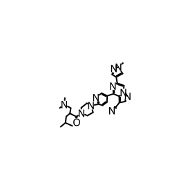 CC(C)CC(CN(C)C)C(=O)N1CCN(c2ccc(-c3nc(-c4cnn(C)c4)cn4ncc(C#N)c34)cn2)CC1